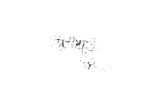 COc1ccc(CN2Cc3ccc(Nc4cc(C5CCC(O[Si](c6ccccc6)(c6ccccc6)C(C)(C)C)CC5)nn4C(C)(C)C)cc3S2(=O)=O)cc1